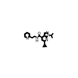 CC(C)n1ncc2c(C(=O)NCCc3ccccn3)cc(C3CC3)nc21